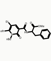 CCCCn1c(CCC)c(CC)cc(C(=O)NC(Cc2ccccc2)C(=O)OC)c1=O